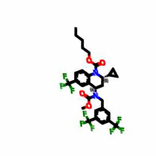 CCCCCOC(=O)N1c2ccc(C(F)(F)F)cc2[C@@H](N(Cc2cc(C(F)(F)F)cc(C(F)(F)F)c2)C(=O)OC)C[C@H]1C1CC1